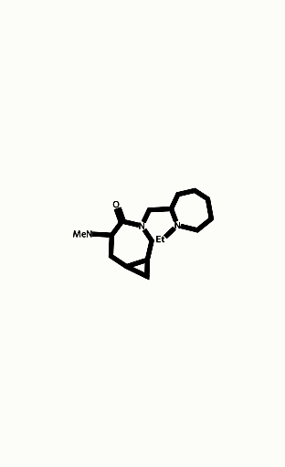 CCN1CCCCCC1CN1CC2CC2CC(NC)C1=O